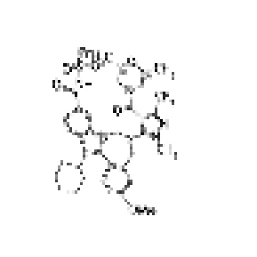 COc1ccc2c(c1)C=C(c1c(C(=O)N3C[C@@H](C)O[C@@H](C)C3)c(C(F)(F)F)nn1C)Cn1c-2c(C2CCCCC2)c2ccc(C(=O)NS(=O)(=O)C(C)C)cc21